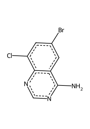 Nc1ncnc2c(Cl)cc(Br)cc12